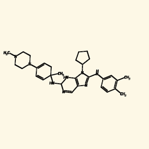 Cc1ccc(Nc2nc3c(n2C2CCCC2)NC(NC2(C)C=CC(N4CCN(C)CC4)=CC2)N=C3)cc1C